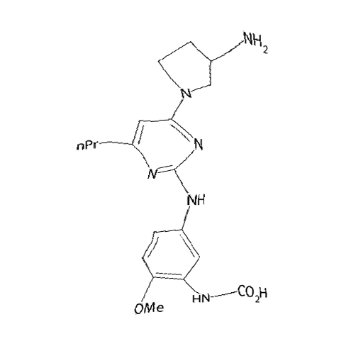 CCCc1cc(N2CCC(N)C2)nc(Nc2ccc(OC)c(NC(=O)O)c2)n1